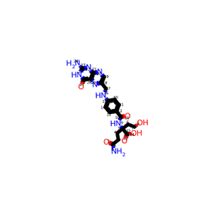 NC(=O)CCC(CCO)(NC(=O)c1ccc(NCc2cnc3nc(N)[nH]c(=O)c3n2)cc1)C(=O)O